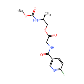 C[C@@H](COC(=O)CNC(=O)c1ccc(Cl)nc1)NC(=O)OC(C)(C)C